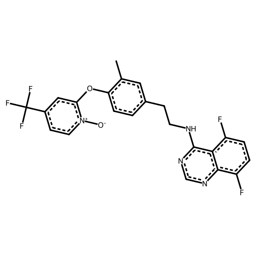 Cc1cc(CCNc2ncnc3c(F)ccc(F)c23)ccc1Oc1cc(C(F)(F)F)cc[n+]1[O-]